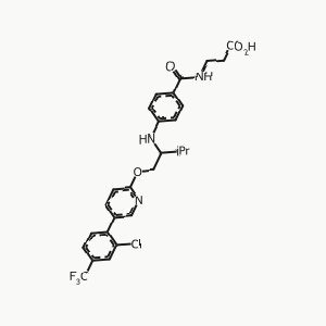 CC(C)C(COc1ccc(-c2ccc(C(F)(F)F)cc2Cl)cn1)Nc1ccc(C(=O)NCCC(=O)O)cc1